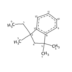 CCC1(C)CC(C)(C)c2ccccc21